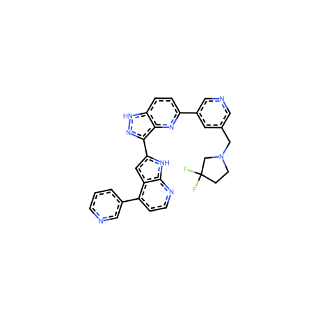 FC1(F)CCN(Cc2cncc(-c3ccc4[nH]nc(-c5cc6c(-c7cccnc7)ccnc6[nH]5)c4n3)c2)C1